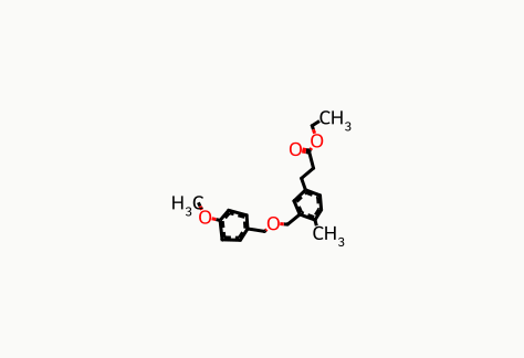 CCOC(=O)CCc1ccc(C)c(COCc2ccc(OC)cc2)c1